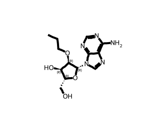 CCCO[C@@H]1[C@H](O)[C@@H](CO)O[C@H]1n1cnc2c(N)ncnc21